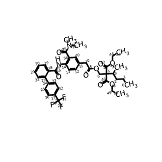 CCCC(C)C(COC(=O)Cc1ccc(NC(=O)c2ccccc2-c2ccc(C(F)(F)F)cc2)c(C(=O)N(C)C)c1)(C(=O)OCC)C(=O)OCC